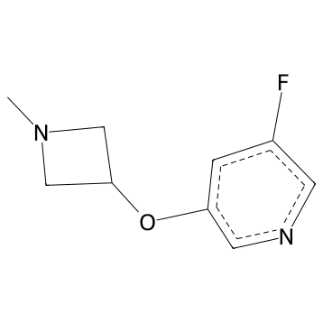 CN1CC(Oc2cncc(F)c2)C1